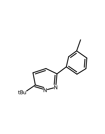 Cc1cccc(-c2ccc(C(C)(C)C)nn2)c1